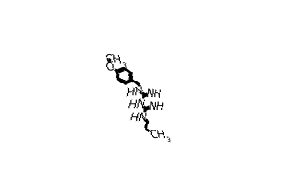 CCCNC(=N)NC(=N)NCc1ccc(OC)cc1